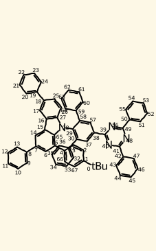 CC(C)(C)c1ccc(-c2cc(-c3ccccc3)cc3c4cc(-c5ccccc5)ccc4n(-c4c(-c5ccccc5)cc(-c5nc(-c6ccccc6)nc(-c6ccccc6)n5)cc4-c4ccccc4)c23)cc1